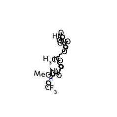 COc1cnc(C(=O)NCc2cccc(CC(=O)N(C)CCCCCOc3ccc4c(c3)C(=O)N(C3CCC(=O)NC3=O)C4=O)c2)cc1/C=C/[C@H]1CC[C@H](C(F)(F)F)CC1